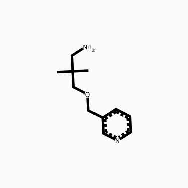 CC(C)(CN)COCc1cccnc1